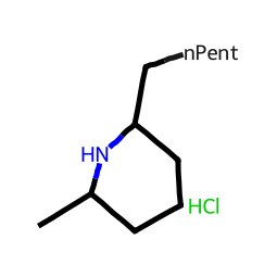 CCCCCCC1CCCC(C)N1.Cl